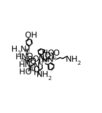 C[C@H](NC(=O)[C@@H](N)Cc1ccc(O)cc1)C(=O)N[C@H](C(=O)N[C@@H](CCC(N)=O)C(=O)N(c1ccccc1)[C@@H](Cc1ccccc1)C(=O)N[C@@H](CCCCN)C(=O)O)[C@@H](C)O